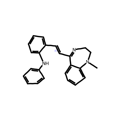 CN1CCN=C(/C=C/c2ccccc2Nc2ccccc2)c2ccccc21